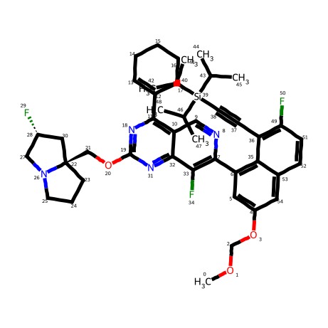 COCOc1cc(-c2ncc3c(C4=CCCCC4)nc(OC[C@@]45CCCN4C[C@H](F)C5)nc3c2F)c2c(C#C[Si](C(C)C)(C(C)C)C(C)C)c(F)ccc2c1